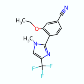 CCOc1cc(C#N)ccc1-c1nc(C(F)(F)F)cn1C